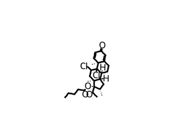 CCCCC(=O)O[C@@]1(C(C)=O)[C@@H](C)C[C@H]2[C@@H]3CCC4=CC(=O)C=C[C@]4(C)C3(Cl)C(Cl)C[C@@]21C